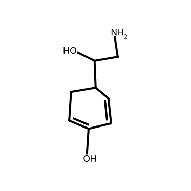 NCC(O)C1C=CC(O)=CC1